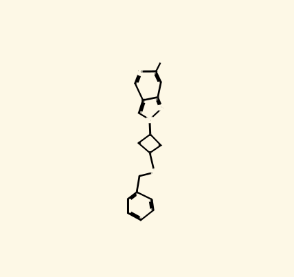 Clc1cc2nn(C3CC(OCc4ccccc4)C3)cc2cn1